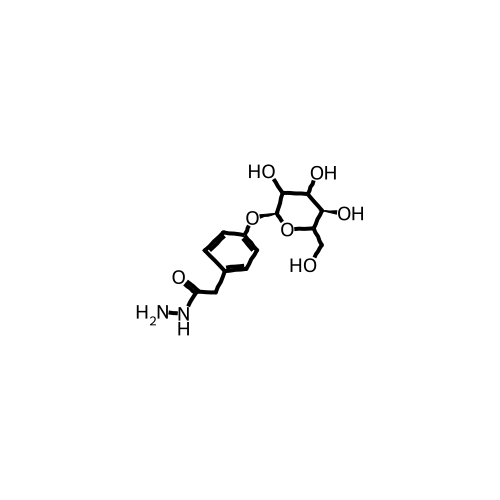 NNC(=O)Cc1ccc(O[C@@H]2OC(CO)[C@H](O)C(O)C2O)cc1